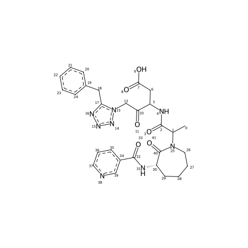 CC(C(=O)NC(CC(=O)O)C(=O)Cn1nnnc1Cc1ccccc1)N1CCCC[C@H](NC(=O)c2cccnc2)C1=O